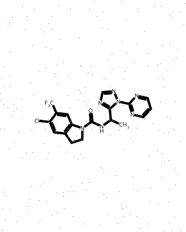 CC(NC(=O)N1CCc2cc(Cl)c(C(F)(F)F)cc21)c1ncnn1-c1ncccn1